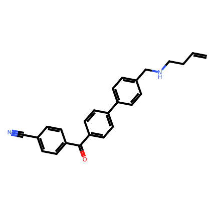 C=CCCNCc1ccc(-c2ccc(C(=O)c3ccc(C#N)cc3)cc2)cc1